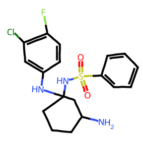 NC1CCCC(Nc2ccc(F)c(Cl)c2)(NS(=O)(=O)c2ccccc2)C1